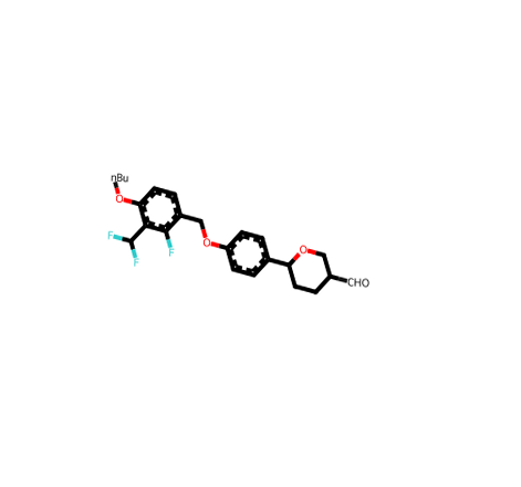 CCCCOc1ccc(COc2ccc(C3CCC(C=O)CO3)cc2)c(F)c1C(F)F